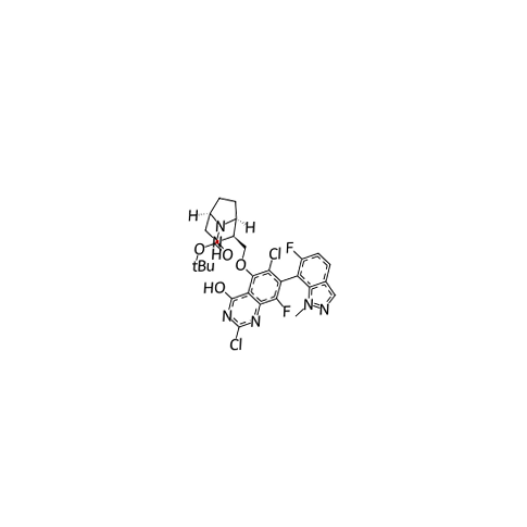 Cn1ncc2ccc(F)c(-c3c(Cl)c(OC[C@H]4NC[C@H]5CC[C@@H]4N5C(=O)OC(C)(C)C)c4c(O)nc(Cl)nc4c3F)c21